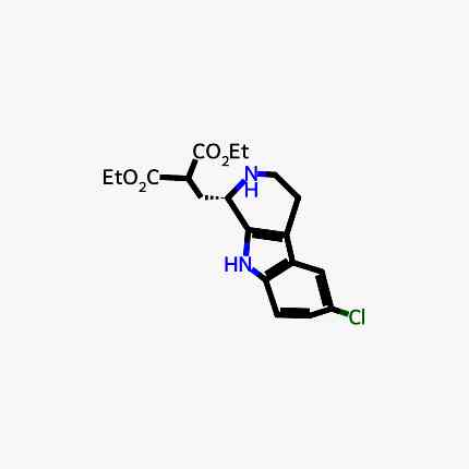 CCOC(=O)C(C[C@@H]1NCCc2c1[nH]c1ccc(Cl)cc21)C(=O)OCC